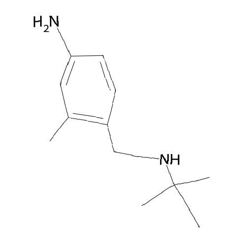 Cc1cc(N)ccc1CNC(C)(C)C